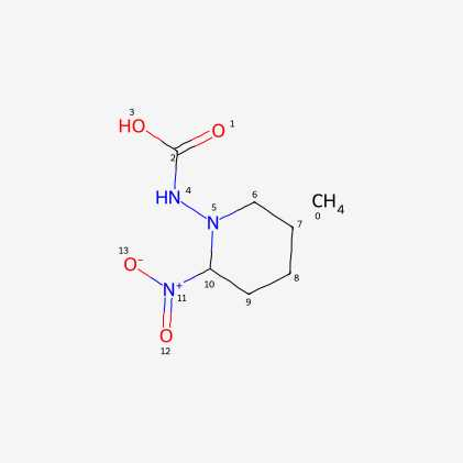 C.O=C(O)NN1CCCCC1[N+](=O)[O-]